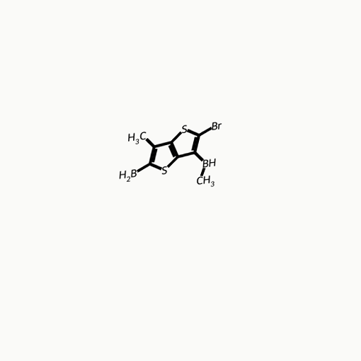 Bc1sc2c(BC)c(Br)sc2c1C